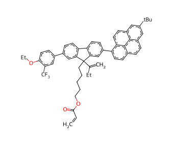 C=CC(=O)OCCCCCC1(C(=C)CC)c2cc(-c3ccc(OCC)c(C(F)(F)F)c3)ccc2-c2ccc(-c3ccc4ccc5cc(C(C)(C)C)cc6ccc3c4c56)cc21